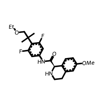 CCOCC(C)(C)c1c(F)cc(NC(=O)[C@@H]2NCCc3cc(OC)ccc32)cc1F